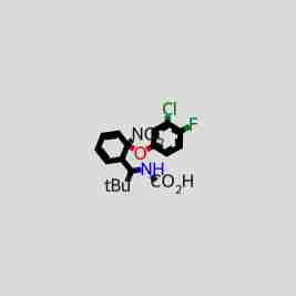 CC(C)(C)C(NC(=O)O)C1C=CC=CC1(Oc1ccc(F)c(Cl)c1)[N+](=O)[O-]